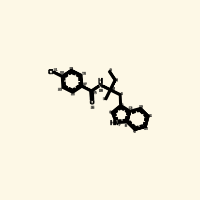 CCC(C)(Cc1c[nH]c2ccccc12)NC(=O)c1ccc(Cl)cc1